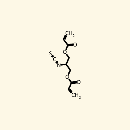 C=CC(=O)OCC(COC(=O)C=C)N=C=S